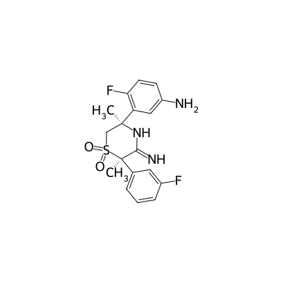 C[C@@]1(c2cccc(F)c2)C(=N)N[C@](C)(c2cc(N)ccc2F)CS1(=O)=O